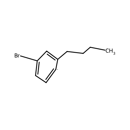 CCCCc1[c]ccc(Br)c1